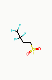 O=[SH](=O)CCC(F)(F)C(F)F